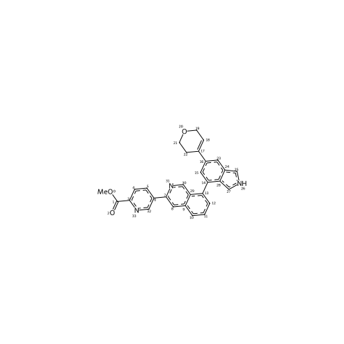 COC(=O)c1ccc(-c2cc3cccc(-c4cc(C5=CCOCC5)cc5c[nH]cc45)c3cn2)cn1